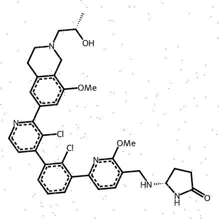 COc1cc(-c2nccc(-c3cccc(-c4ccc(CN[C@@H]5CCC(=O)N5)c(OC)n4)c3Cl)c2Cl)cc2c1CN(C[C@H](C)O)CC2